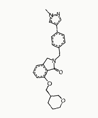 Cn1cc(-c2ccc(CN3Cc4cccc(OCC5CCCOC5)c4C3=O)cc2)cn1